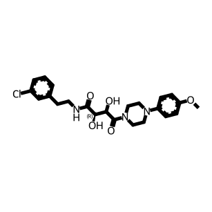 COc1ccc(N2CCN(C(=O)C(O)[C@@H](O)C(=O)NCCc3cccc(Cl)c3)CC2)cc1